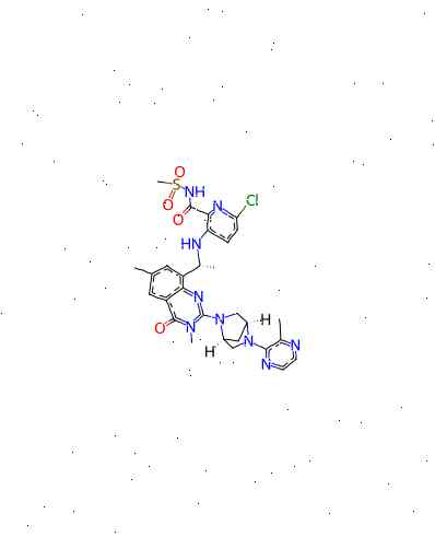 Cc1cc([C@@H](C)Nc2ccc(Cl)nc2C(=O)NS(C)(=O)=O)c2nc(N3C[C@@H]4C[C@H]3CN4c3nccnc3C)n(C)c(=O)c2c1